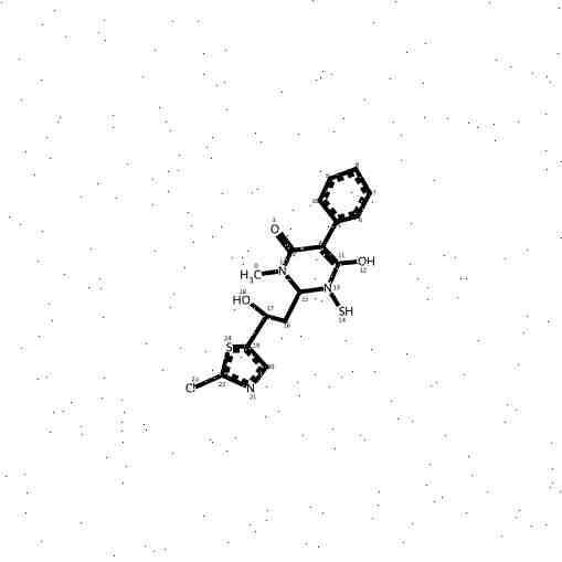 CN1C(=O)C(c2ccccc2)=C(O)N(S)C1CC(O)c1cnc(Cl)s1